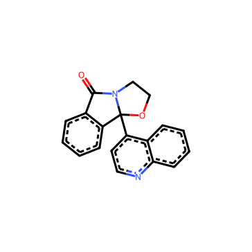 O=C1c2ccccc2C2(c3ccnc4ccccc34)OCCN12